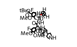 COc1c(F)cc(C(NC(=O)N2CCN(C3CCNCC3)C2=O)C(=O)N[C@@H](Cc2ccc(F)c(C(=O)OC(C)(C)C)c2OC)B2O[C@@H]3C[C@@H]4C[C@@H](C4(C)C)[C@]3(C)O2)c(Cl)c1OC